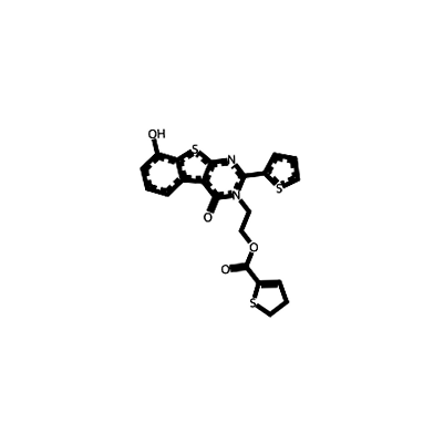 O=C(OCCn1c(-c2cccs2)nc2sc3c(O)cccc3c2c1=O)C1=CCCS1